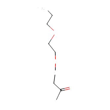 CC(=O)NCCOCCOCCC(=O)C(C)C